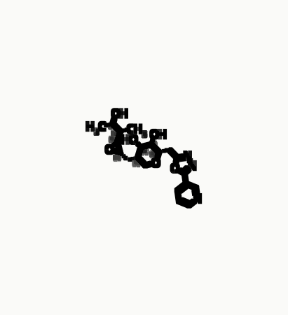 C[C@H]([C@@H]1O[C@H]1C[C@H]1CO[C@@H](Cc2nnc(-c3cccnc3)o2)[C@H](O)[C@@H]1O)[C@H](C)O